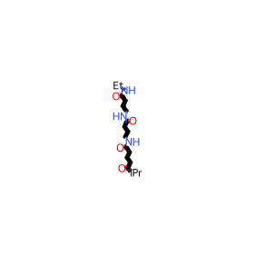 CCNC(=O)CCCNC(=O)CCCNC(=O)CCCC(=O)C(C)C